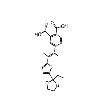 CCC1(c2ccc(/C(C)=C(\C)c3ccc(C(=O)O)c(C(=O)O)c3)s2)OCCO1